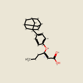 CCC/C(=C/C(=O)O)Oc1ccc(C23CC4CC(CC(C4)C2)C3)cc1